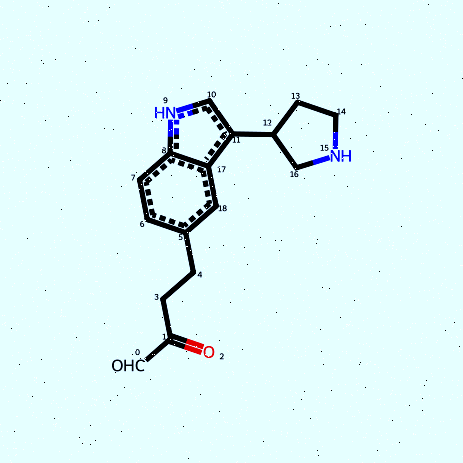 O=CC(=O)CCc1ccc2[nH]cc(C3CCNC3)c2c1